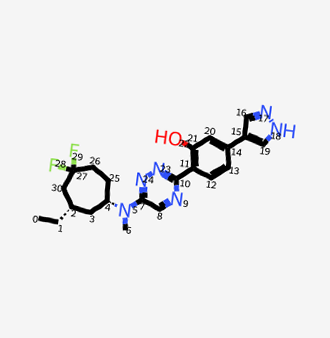 CC[C@H]1C[C@@H](N(C)c2cnc(-c3ccc(-c4cn[nH]c4)cc3O)nn2)CCC(F)(F)C1